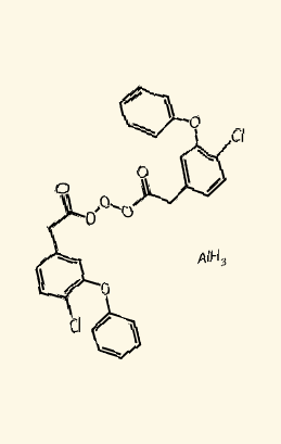 O=C(Cc1ccc(Cl)c(Oc2ccccc2)c1)OOOC(=O)Cc1ccc(Cl)c(Oc2ccccc2)c1.[AlH3]